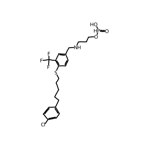 O=[PH](O)OCCCNCc1ccc(SCCCCCc2ccc(Cl)cc2)c(C(F)(F)F)c1